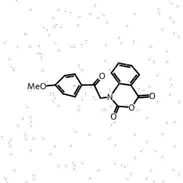 COc1ccc(C(=O)Cn2c(=O)oc(=O)c3ccccc32)cc1